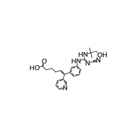 CC(C)(CO)NC(=NC#N)Nc1cccc(C(=CCCCC(=O)O)c2cccnc2)c1